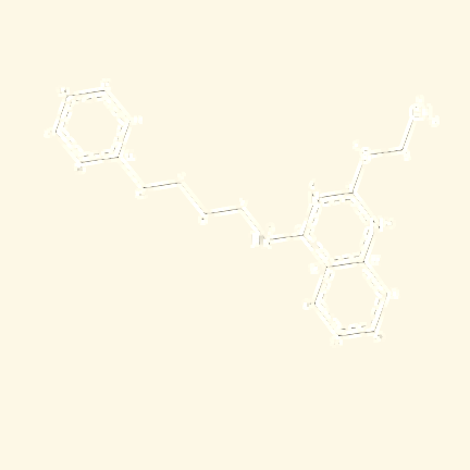 CCSc1nc(NCCCCc2ccccc2)c2ccccc2n1